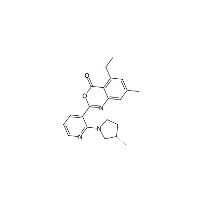 CCc1cc(C)cc2nc(-c3cccnc3N3CC[C@H](C)C3)oc(=O)c12